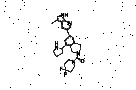 Cc1c[nH]c2ncc(-c3cc4c(c(C5CCCN5)c3)CN(C(=O)N3CCC(F)(F)CC3)CC4)cc12